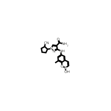 Cc1cc(Nc2nn(C3CCCC3C#N)cc2C(N)=O)cc2c1OB(O)C=C2